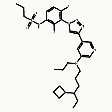 CCCN(CCCC(CC)C1CCC1)c1cncc(-c2cn(-c3c(F)ccc(NS(=O)(=O)CCC)c3F)nn2)c1